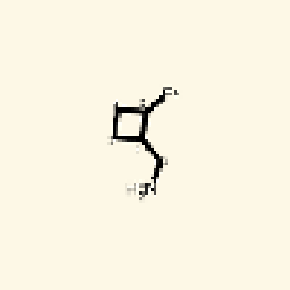 NCC1CCC1F